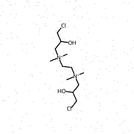 C[N+](C)(CC[N+](C)(C)CC(O)CCl)CC(O)CCl